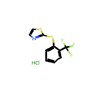 Cl.FC(F)(F)c1ccccc1Sc1nccs1